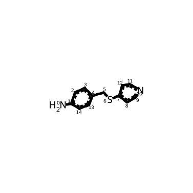 Nc1ccc(CSc2ccncc2)cc1